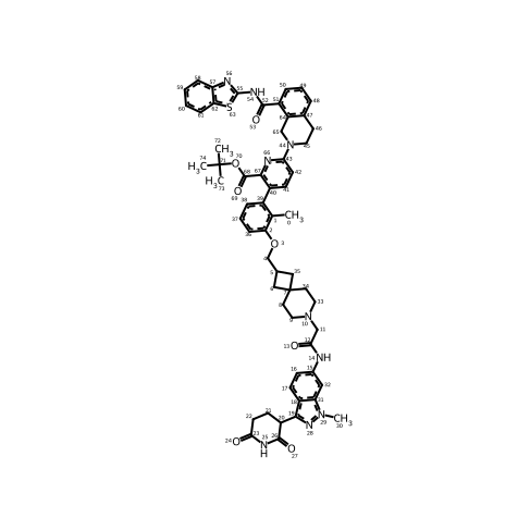 Cc1c(OCC2CC3(CCN(CC(=O)Nc4ccc5c(C6CCC(=O)NC6=O)nn(C)c5c4)CC3)C2)cccc1-c1ccc(N2CCc3cccc(C(=O)Nc4nc5ccccc5s4)c3C2)nc1C(=O)OC(C)(C)C